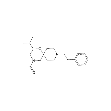 CC(=O)N1CC(C(C)C)OC2(CCN(CCc3ccccc3)CC2)C1